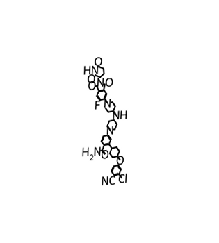 N#Cc1ccc(OC2CCC(c3cc(N4CCC(NC5CCN(c6cc7c(cc6F)C(=O)N(C6CCC(=O)NC6=O)C7=O)CC5)CC4)ccc3C(N)=O)CC2)cc1Cl